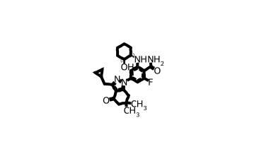 CC1(C)CC(=O)c2c(CC3CC3)nn(-c3cc(F)c(C(N)=O)c(N[C@H]4CCCC[C@@H]4O)c3)c2C1